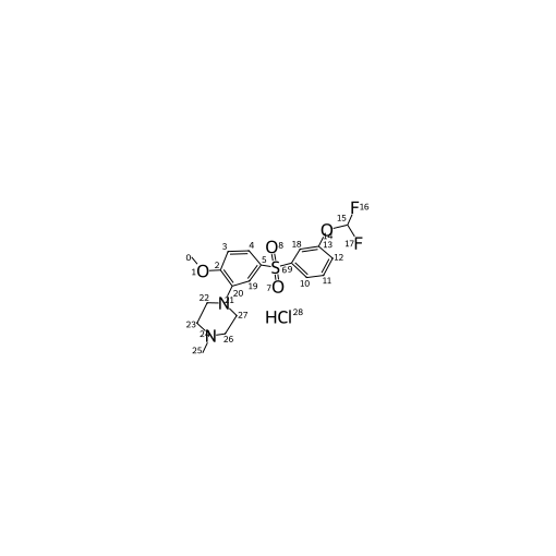 COc1ccc(S(=O)(=O)c2cccc(OC(F)F)c2)cc1N1CCN(C)CC1.Cl